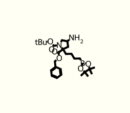 CC(C)(C)OC(=O)N1CC(N)CC1(CCCCB1OC(C)(C)C(C)(C)O1)C(=O)OCc1ccccc1